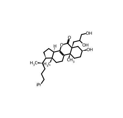 CC(C)CCC[C@@H](C)[C@H]1CC[C@H]2C3=C(CC[C@]12C)[C@@]1(C)CC[C@H](O)C[C@@]1(CC(O)CO)C(=O)O3